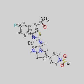 CCc1nc2ccc(C3CCN(S(C)(=O)=O)CC3)cn2c1N(C)c1nc(-c2ccc(F)cc2)c(CC(=O)[N+](=O)[O-])s1